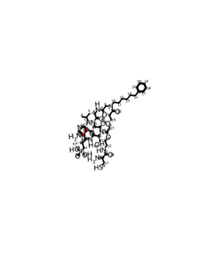 CC(C)C[C@H](NC(=O)CN(CCCCCCc1ccccc1)C(=O)CCOCCOCCNC(=O)[C@@H](N)CS)C(=O)N[C@@H](Cc1cnc[nH]1)C(=O)N[C@@H](CO)C(=O)N[C@H](C(N)=O)[C@@H](C)CP(=O)(O)O